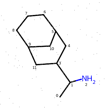 CC(N)C1CC2CCCC(C2)C1